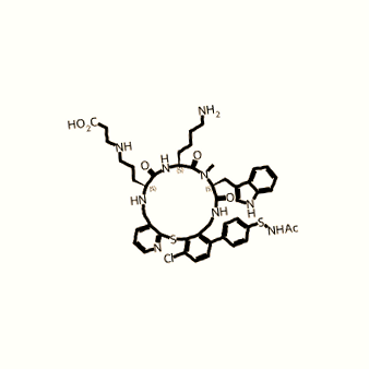 CC(=O)NSc1ccc(-c2ccc(Cl)c3c2CNC(=O)[C@H](Cc2c[nH]c4ccccc24)N(C)C(=O)[C@H](CCCCN)NC(=O)[C@H](CCCNCCC(=O)O)NCc2cccnc2S3)cc1